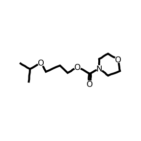 CC(C)OCCCOC(=O)N1CCOCC1